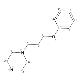 c1ccc(OCCCN2CCNCC2)cc1